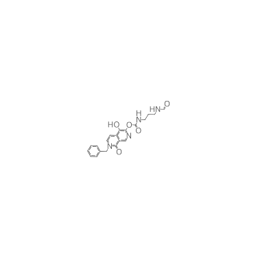 O=CNCCCNC(=O)Oc1ncc2c(=O)n(Cc3ccccc3)ccc2c1O